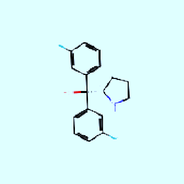 OC(c1cccc(F)c1)(c1cccc(F)c1)[C@@H]1CCCN1